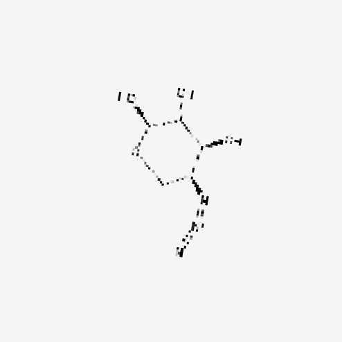 [N-]=[N+]=N[C@H]1CO[C@@H](O)C(O)[C@H]1O